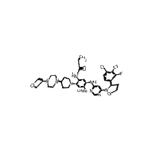 C=CC(=O)Nc1cc(Nc2cc(N3OCCC3c3ccc(Cl)c(Cl)c3F)ncn2)c(OC)cc1N1CCC(N2CCN(C3COC3)CC2)CC1